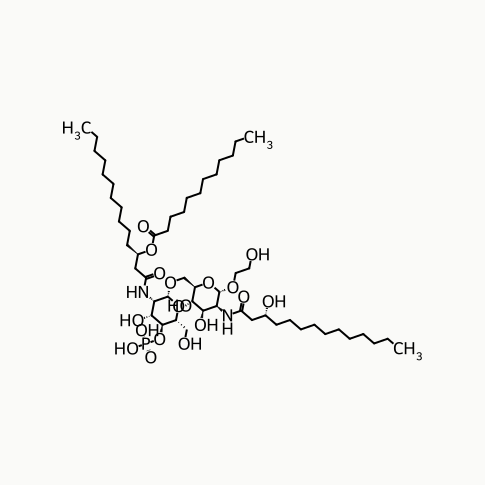 CCCCCCCCCCCC(=O)O[C@H](CCCCCCCCCCC)CC(=O)N[C@@H]1[C@H](OC[C@H]2O[C@H](OCCO)[C@@H](NC(=O)C[C@H](O)CCCCCCCCCCC)[C@@H](O)[C@@H]2O)O[C@H](CO)[C@@H](OP(=O)(O)O)[C@@H]1O